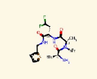 CCCN(C(=O)[C@@H](N)C(C)(C)C)[C@@H](C)C(=O)N[C@@H](CC(F)F)C(=O)NCc1cccs1